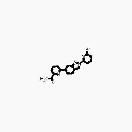 CC(=O)c1cccc(-c2ccc3cn(-c4cccc(Br)n4)nc3c2)n1